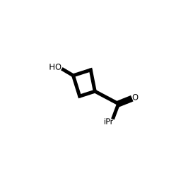 CC(C)C(=O)C1CC(O)C1